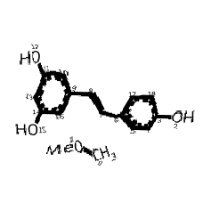 COC.Oc1ccc(/C=C/c2cc(O)cc(O)c2)cc1